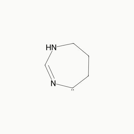 [C]1CCCNC=N1